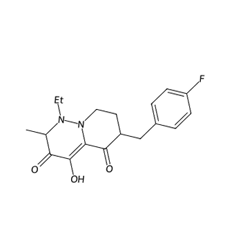 CCN1C(C)C(=O)C(O)=C2C(=O)C(Cc3ccc(F)cc3)CCN21